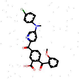 COc1ccccc1C(=O)c1ccc(C(=O)c2ccc(N(C)c3ccc(Cl)cc3)cn2)cc1C(=O)O